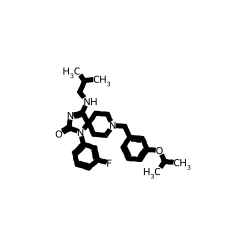 CC(C)CNC1=NC(=O)N(c2cccc(F)c2)C12CCN(Cc1cccc(OC(C)C)c1)CC2